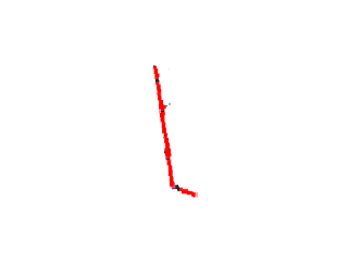 CCCCCCCC/C=C\CCCCCCCCCCCC(=O)CCCCCCCCCCCCCCC(=O)NC(CO)CCCCCCCCCCCCCCCC